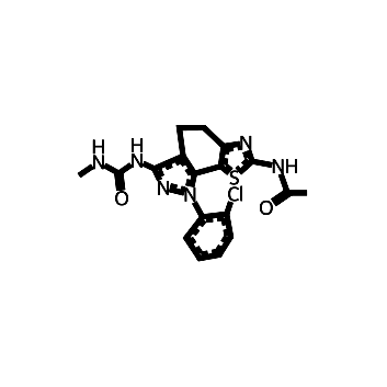 CNC(=O)Nc1nn(-c2ccccc2Cl)c2c1CCc1nc(NC(C)=O)sc1-2